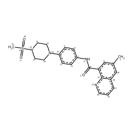 Cc1cc(C(=O)Nc2ccc(N3CCN(S(C)(=O)=O)CC3)cc2)c2ncccc2c1